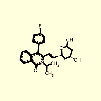 CC(C)n1c(C=C[C@@H]2C[C@@H](O)CC(O)O2)c(-c2ccc(F)cc2)c2ccccc2c1=O